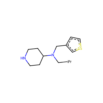 CC(C)CN(Cc1ccsc1)C1CCNCC1